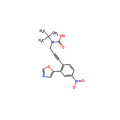 CC(C)(C)N(CC#Cc1ccc([N+](=O)[O-])cc1-c1cnco1)C(=O)O